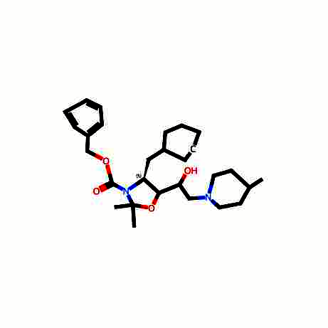 CC1CCN(CC(O)C2OC(C)(C)N(C(=O)OCc3ccccc3)[C@H]2CC2CCCCC2)CC1